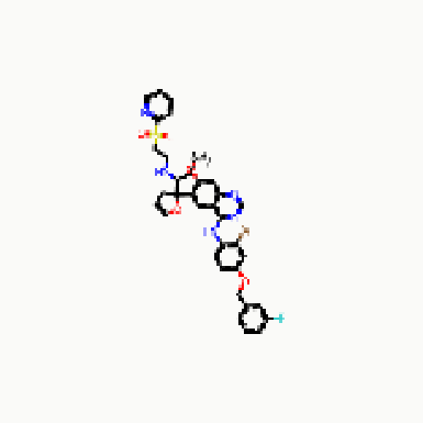 CCC(NCCS(=O)(=O)c1ccccn1)C1(c2cc3c(Nc4ccc(OCc5cccc(F)c5)cc4Br)ncnc3cc2OC)CC=CO1